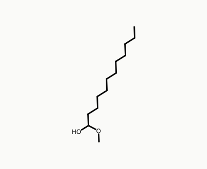 CCCCCCCCCCCC(O)OC